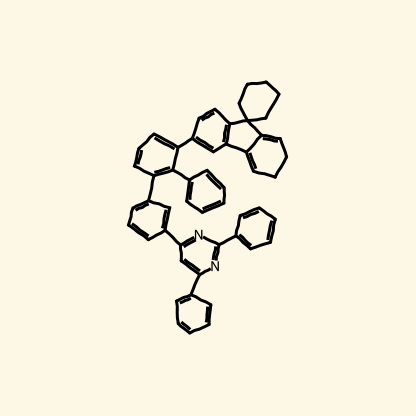 C1=C2C(=CCC1)C1(CCCCC1)c1ccc(-c3cccc(-c4cccc(-c5cc(-c6ccccc6)nc(-c6ccccc6)n5)c4)c3-c3ccccc3)cc12